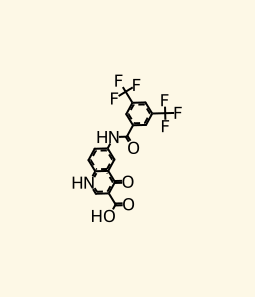 O=C(Nc1ccc2[nH]cc(C(=O)O)c(=O)c2c1)c1cc(C(F)(F)F)cc(C(F)(F)F)c1